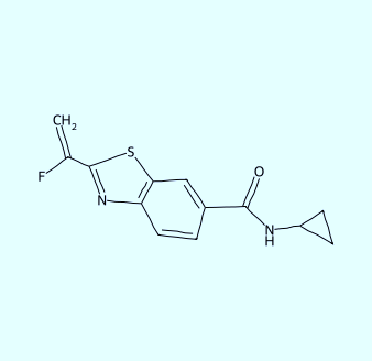 C=C(F)c1nc2ccc(C(=O)NC3CC3)cc2s1